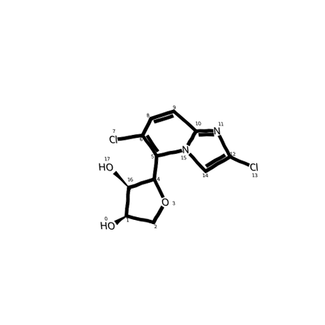 O[C@@H]1COC(c2c(Cl)ccc3nc(Cl)cn23)[C@@H]1O